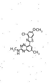 CNc1nnc2c(-c3nc4c(Cl)cc(OC)cc4s3)cc(C)cc2n1